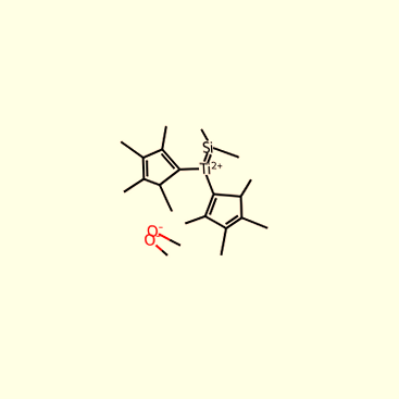 CC1=C(C)C(C)[C]([Ti+2]([C]2=C(C)C(C)=C(C)C2C)=[Si](C)C)=C1C.C[O-].C[O-]